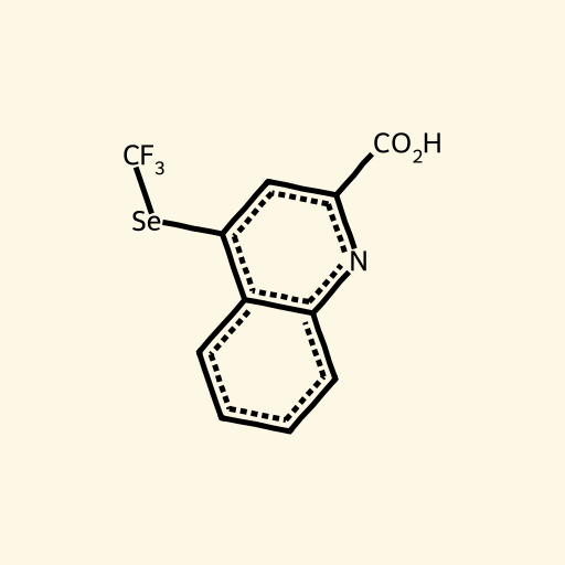 O=C(O)c1cc([Se]C(F)(F)F)c2ccccc2n1